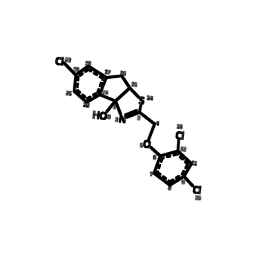 OC12N=C(COc3ccc(Cl)cc3Cl)SC1Cc1cc(Cl)ccc12